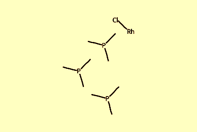 CP(C)C.CP(C)C.CP(C)C.[Cl][Rh]